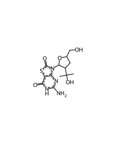 CC(C)(O)C1CC(CO)OC1n1c(=O)sc2c(=O)[nH]c(N)nc21